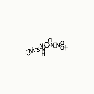 CC(C)(C)OC(=O)N1CCN(c2cc3[nH]c(SCC(C)(C)N4CCCCC4)nc3cc2Cl)CC1